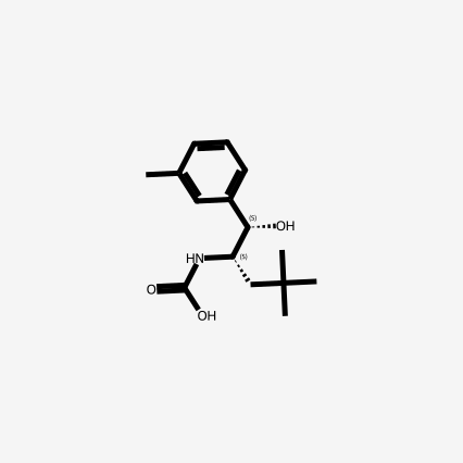 Cc1cccc([C@H](O)[C@H](CC(C)(C)C)NC(=O)O)c1